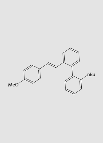 CCCCc1ccccc1-c1ccccc1C=Cc1ccc(OC)cc1